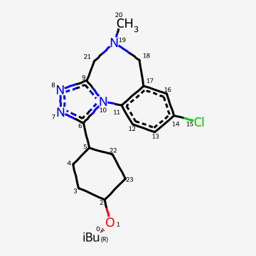 CC[C@@H](C)OC1CCC(c2nnc3n2-c2ccc(Cl)cc2CN(C)C3)CC1